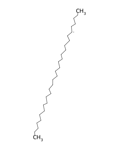 CCCCC[CH]CCCCCCCCCCCCCCCCCCCCCCCC